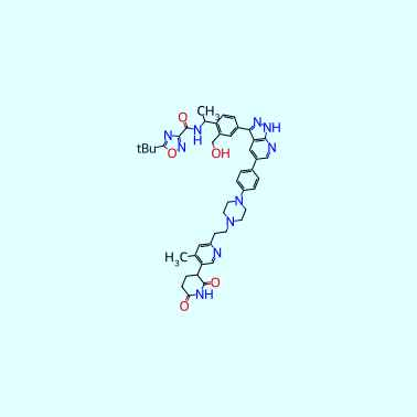 Cc1cc(CCN2CCN(c3ccc(-c4cnc5[nH]nc(-c6ccc(C(C)NC(=O)c7noc(C(C)(C)C)n7)c(CO)c6)c5c4)cc3)CC2)ncc1C1CCC(=O)NC1=O